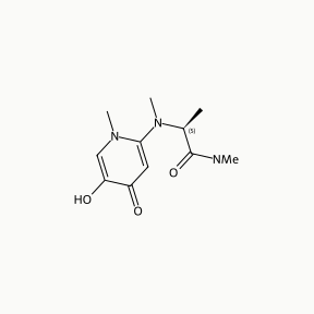 CNC(=O)[C@H](C)N(C)c1cc(=O)c(O)cn1C